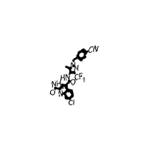 Cc1c(NC(=O)c2cc(C(N)=O)nc3cc(Cl)ccc23)c(C(F)(F)F)nn1Cc1ccc(C#N)cc1